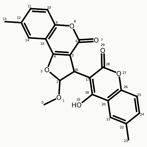 COC1Oc2c(c(=O)oc3ccc(C)cc23)C1c1c(O)c2cc(C)ccc2oc1=O